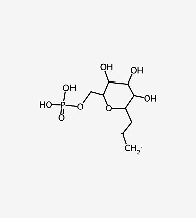 [CH2]CCC1OC(COP(=O)(O)O)C(O)C(O)C1O